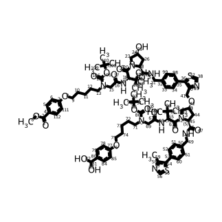 COC(=O)c1ccc(OCCCCCN(CC(=O)N[C@H](C(=O)N2C[C@H](O)C[C@H]2C(=O)NCc2ccc(-c3scnc3CO[C@@H]3C[C@@H](C(=O)NCc4ccc(-c5scnc5C)cc4)N(C(=O)[C@@H](NC(=O)CN(CCCCCOc4ccc(C(O)O)cc4)C(=O)OC(C)(C)C)C(C)(C)C)C3)cc2)C(C)(C)C)C(=O)OC(C)(C)C)cc1